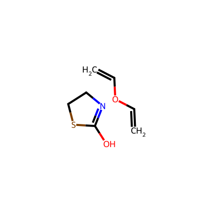 C=COC=C.OC1=NCCS1